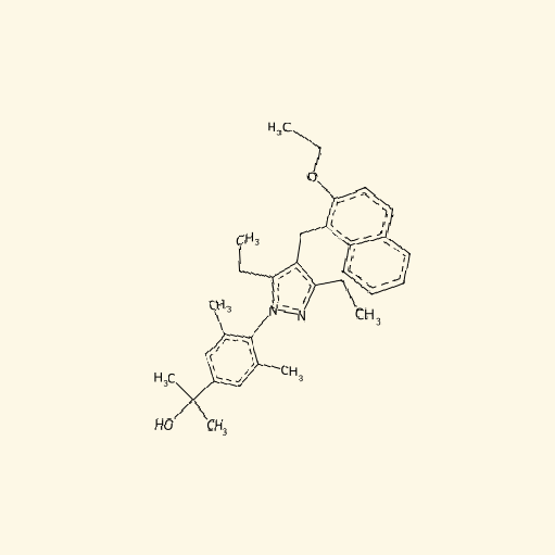 CCOc1ccc2ccccc2c1Cc1c(CC)nn(-c2c(C)cc(C(C)(C)O)cc2C)c1CC